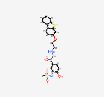 CS(=O)(=O)Nc1cc([C@@H](O)CNCCOc2ccc3c(c2)sc2ccccc23)ccc1O